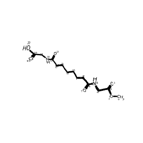 COC(=O)CNC(=O)CCCCCCC(=O)NCC(=O)O